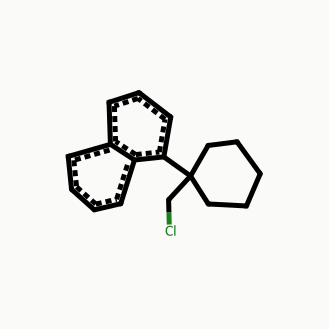 ClCC1(c2cccc3ccccc23)CCCCC1